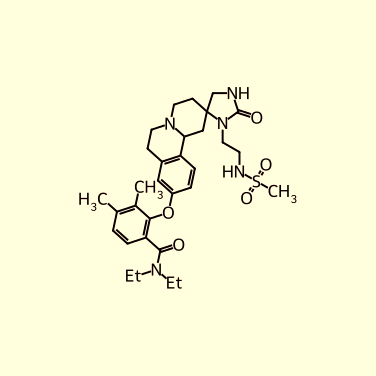 CCN(CC)C(=O)c1ccc(C)c(C)c1Oc1ccc2c(c1)CCN1CCC3(CNC(=O)N3CCNS(C)(=O)=O)CC21